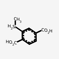 C[SiH2]c1cc(C(=O)O)ccc1C(=O)O